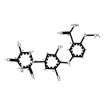 COc1ccc(Oc2c(Cl)cc(-n3nc(Cl)c(=O)[nH]c3=O)cc2Cl)cc1C(=O)O